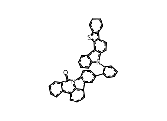 O=c1c2ccccc2c2cccc3c4cc(-c5ccccc5-n5c6ccccc6c6c7sc8ccccc8c7ccc65)ccc4n1c23